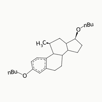 CCCCOc1ccc2c(c1)CCC1C3CC[C@H](OCCCC)C3C[C@H](C)C21